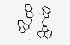 C1=C(CC2=Cc3ccccc3[CH]2[Zr+2][CH]2C(CC3=Cc4cccc5cccc3c45)=Cc3ccccc32)c2cccc3cccc1c23.[Cl-].[Cl-]